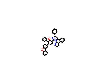 c1ccc(-c2cc(-c3ccccc3-c3cccnc3)nc(-c3ccc(-c4ccc5oc6ccccc6c5c4)c4c3oc3ccccc34)n2)cc1